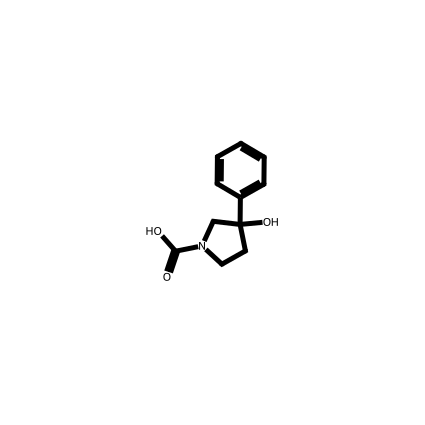 O=C(O)N1CCC(O)(c2ccccc2)C1